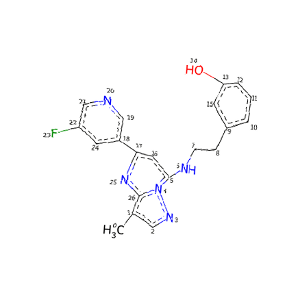 Cc1cnn2c(NCCc3cccc(O)c3)cc(-c3cncc(F)c3)nc12